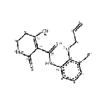 C=CCOc1c(F)cccc1NC(=S)C1=C(O)CCNC1=O